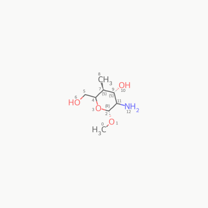 CO[C@@H]1OC(CO)[C@@H](C)[C@H](O)C1N